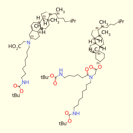 CC(C)CCC[C@@H](C)[C@H]1CC[C@H]2[C@@H]3CC=C4C[C@@H](N(CCCCCCCCNC(=O)OC(C)(C)C)CC(=O)O)CC[C@]4(C)[C@H]3CC[C@]12C.CC(C)CCC[C@@H](C)[C@H]1CC[C@H]2[C@@H]3CC=C4C[C@@H](OC(=O)CN(CCCCCCCCNC(=O)OC(C)(C)C)C(=O)CCCCCNC(=O)OC(C)(C)C)CC[C@]4(C)[C@H]3CC[C@]12C